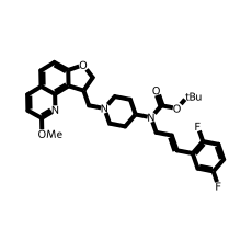 COc1ccc2ccc3c(c2n1)C(CN1CCC(N(C/C=C/c2cc(F)ccc2F)C(=O)OC(C)(C)C)CC1)CO3